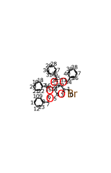 BrC[C@H]1O[C@H](COCc2ccccc2)[C@@H](OCc2ccccc2)[C@H](OCc2ccccc2)[C@@H]1OCc1ccccc1